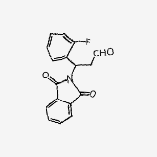 O=CCC(c1ccccc1F)N1C(=O)c2ccccc2C1=O